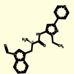 CCn1nc(-c2ccncc2)cc1NC(=O)[C@@H](N)Cc1cn(C=O)c2ccccc12